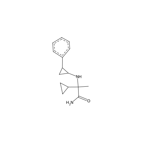 CC(NC1CC1c1ccccc1)(C(N)=O)C1CC1